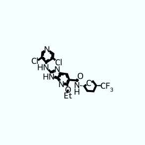 CCOc1nc2[nH]c(Nc3c(Cl)cncc3Cl)nc2cc1C(=O)N[C@H]1CC[C@H](C(F)(F)F)CC1